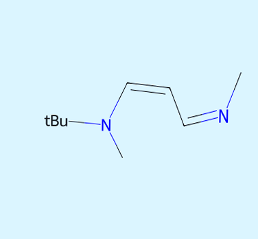 C/N=C\C=C/N(C)C(C)(C)C